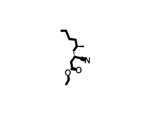 CCCC[C@@H](C)C[C@H](C#N)CC(=O)OCC